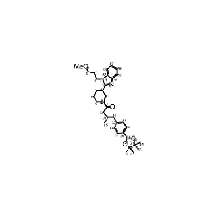 COCCCn1c([C@@H]2CCCN(C(=O)C[C@H](C)Cc3ccc(B4OC(C)(C)C(C)(C)O4)cc3)C2)nc2ccccc21